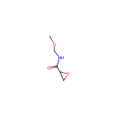 COCNC(=O)C1CO1